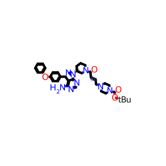 CC(C)(C)OC(=O)N1CCN(C/C=C/C(=O)N2CCC[C@@H](n3nc(-c4ccc(Oc5ccccc5)cc4)c4c(N)ncnc43)C2)CC1